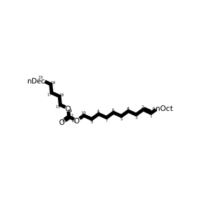 CCCCCCCCC=CCCCCCCCCOC(=O)OCCCCCCCCCCCCCC